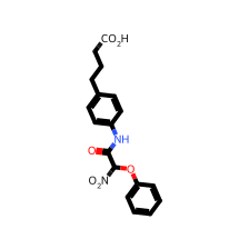 O=C(O)CCCc1ccc(NC(=O)C(Oc2ccccc2)[N+](=O)[O-])cc1